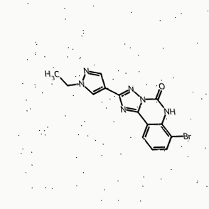 CCn1cc(-c2nc3c4cccc(Br)c4[nH]c(=O)n3n2)cn1